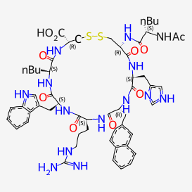 CCCC[C@H](NC(C)=O)C(=O)N[C@H]1CSSC[C@@H](C(=O)O)NC(=O)[C@H](CCCC)NC(=O)[C@H](Cc2c[nH]c3ccccc23)NC(=O)[C@H](CCCNC(=N)N)NC(=O)[C@@H](Cc2ccc3ccccc3c2)NC(=O)[C@H](Cc2c[nH]cn2)NC1=O